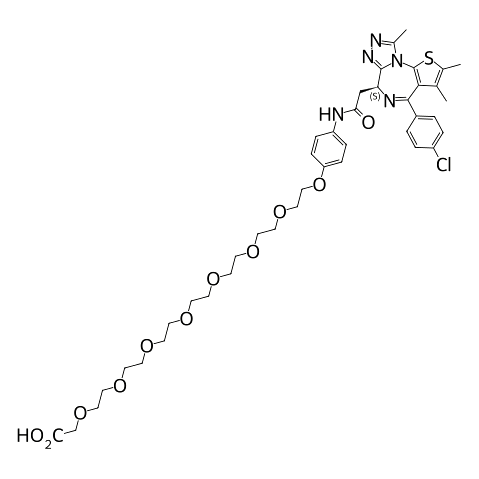 Cc1sc2c(c1C)C(c1ccc(Cl)cc1)=N[C@@H](CC(=O)Nc1ccc(OCCOCCOCCOCCOCCOCCOCCOCC(=O)O)cc1)c1nnc(C)n1-2